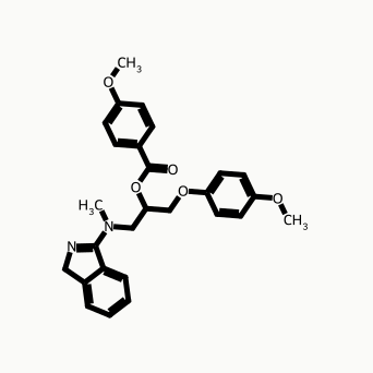 COc1ccc(OCC(CN(C)C2=NCc3ccccc32)OC(=O)c2ccc(OC)cc2)cc1